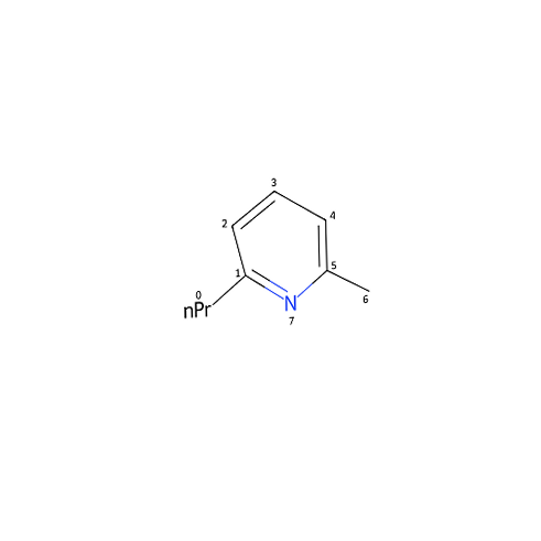 CCCc1cccc(C)n1